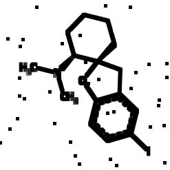 CN(C)[C@H]1CCCC[C@]12Cc1cc(I)ccc1O2